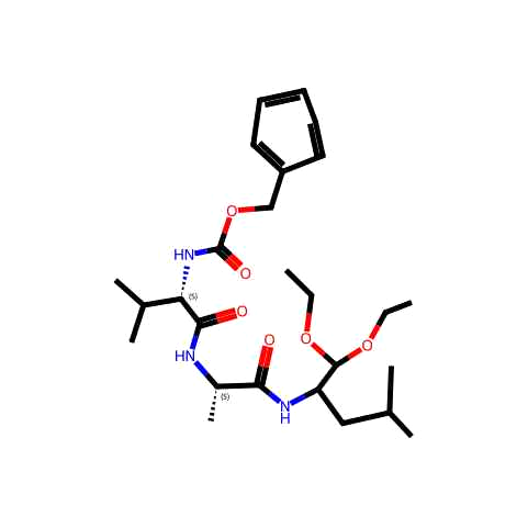 CCOC(OCC)C(CC(C)C)NC(=O)[C@H](C)NC(=O)[C@@H](NC(=O)OCc1ccccc1)C(C)C